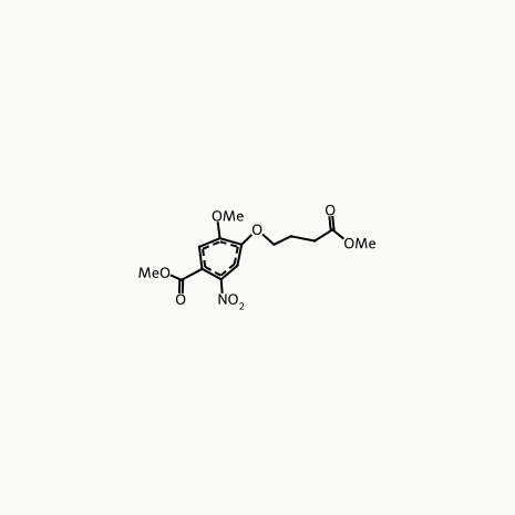 COC(=O)CCCOc1cc([N+](=O)[O-])c(C(=O)OC)cc1OC